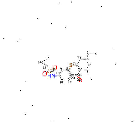 CCC1CCc2c(sc3cc(NS(=O)(=O)C4CC4)ccc3c2=O)C1